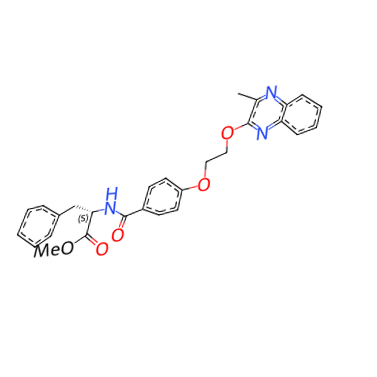 COC(=O)[C@H](Cc1ccccc1)NC(=O)c1ccc(OCCOc2nc3ccccc3nc2C)cc1